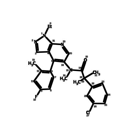 CCn1ncc2c(-c3ccc(F)cc3C)c(N(C)C(=O)C(C)(C)c3cccc(Cl)c3)cnc21